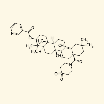 CC1(C)CC[C@]2(C(=O)N3CCS(=O)(=O)CC3)CC[C@]3(C)C(=C2C1)CC[C@@H]1[C@@]2(C)CC[C@H](OC(=O)c4cccnc4)C(C)(C)[C@@H]2CC[C@]13C